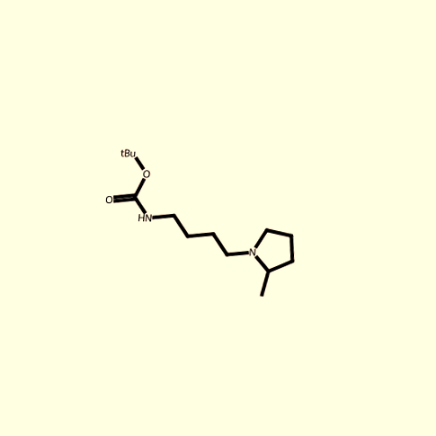 CC1CCCN1CCCCNC(=O)OC(C)(C)C